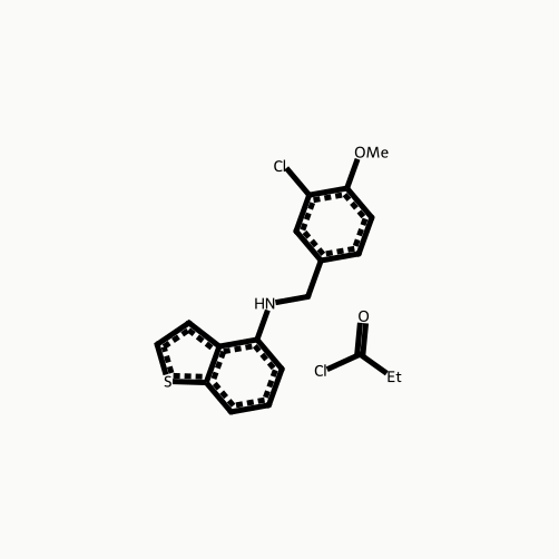 CCC(=O)Cl.COc1ccc(CNc2cccc3sccc23)cc1Cl